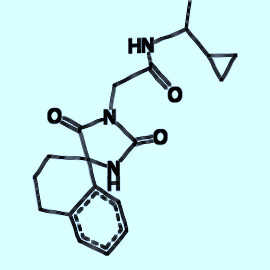 CC(NC(=O)CN1C(=O)NC2(CCCc3ccccc32)C1=O)C1CC1